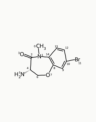 CN1C(=O)[C@@H](N)COc2cc(Br)ccc21